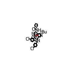 CCOc1cc(C(C)(C)C)ncc1C1=N[C@@](C)(c2ccc(Cl)cc2)[C@@](C)(c2ccc(Cl)cc2)N1C(=O)N1CCC(NC(=O)N2CCCC2)CC1